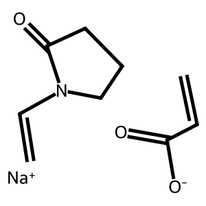 C=CC(=O)[O-].C=CN1CCCC1=O.[Na+]